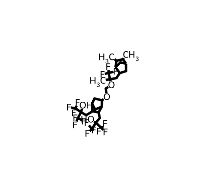 CC1C2CC(CC(C)(OCOC3CC4CC3C(CC(O)(C(F)(F)F)C(F)(F)F)C4CC(O)(C(F)(F)F)C(F)(F)F)C(F)(F)F)C(C2)C1C